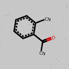 N#CC(=O)c1ccccc1C#N